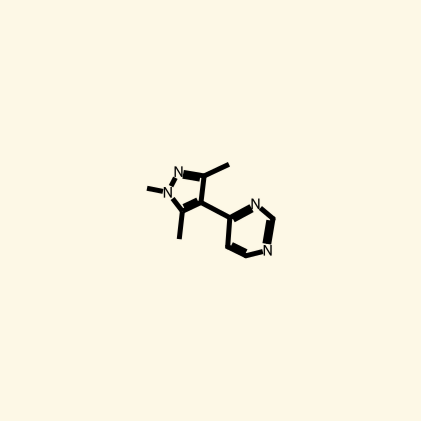 Cc1nn(C)c(C)c1-c1ccncn1